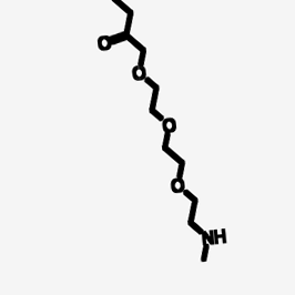 CCC(=O)COCCOCCOCCNC